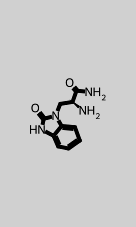 NC(=O)[C@@H](N)Cn1c(=O)[nH]c2ccccc21